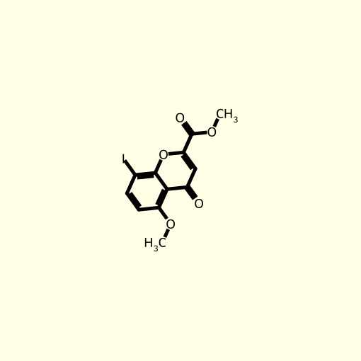 COC(=O)c1cc(=O)c2c(OC)ccc(I)c2o1